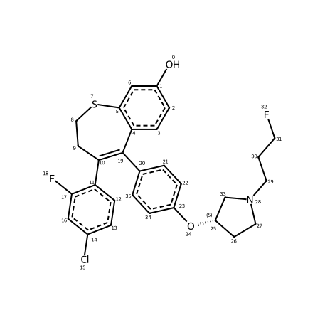 Oc1ccc2c(c1)SCCC(c1ccc(Cl)cc1F)=C2c1ccc(O[C@H]2CCN(CCCF)C2)cc1